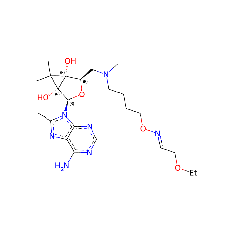 CCOCC=NOCCCCN(C)C[C@H]1O[C@@H](n2c(C)nc3c(N)ncnc32)[C@@]2(O)C(C)(C)[C@@]12O